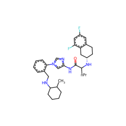 CCCC(N[C@H]1CCc2cc(F)cc(F)c2C1)C(=O)Nc1cn(-c2ccccc2CNC2CCCCC2C)cn1